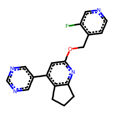 Fc1cnccc1COc1cc(-c2cncnc2)c2c(n1)CCC2